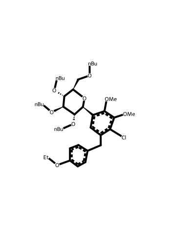 CCCCOC[C@H]1O[C@@H](c2cc(Cc3ccc(OCC)cc3)c(Cl)c(OC)c2OC)[C@H](OCCCC)[C@@H](OCCCC)[C@@H]1OCCCC